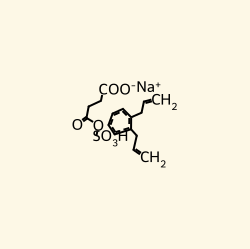 C=CCc1ccccc1CC=C.O=C([O-])CCC(=O)OS(=O)(=O)O.[Na+]